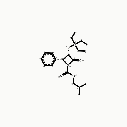 CC[Si](CC)(CC)O[C@@H]1C(=O)N(C(=O)OCC(C)C)[C@@H]1c1ccccc1